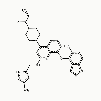 C=CC(=O)N1CCN(c2nc(NCc3nc(C)c[nH]3)nc3c(Oc4c(C)ccc5[nH]ncc45)cccc23)CC1